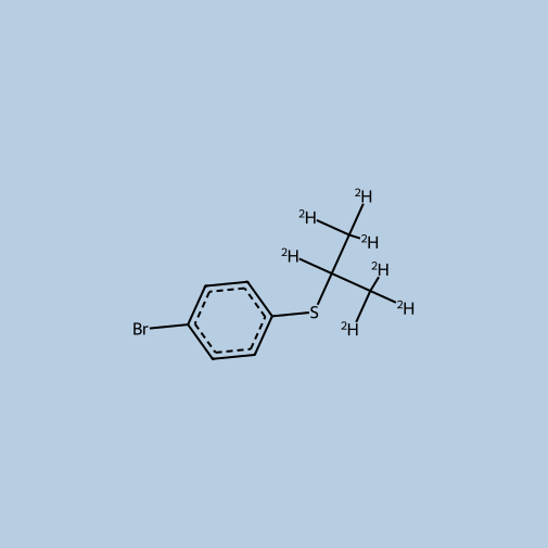 [2H]C([2H])([2H])C([2H])(Sc1ccc(Br)cc1)C([2H])([2H])[2H]